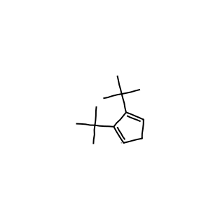 CC(C)(C)C1=[C]CC=C1C(C)(C)C